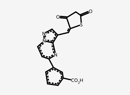 O=C1CC(=O)/C(=C\c2cnn3ccc(-c4cccc(C(=O)O)c4)nc23)S1